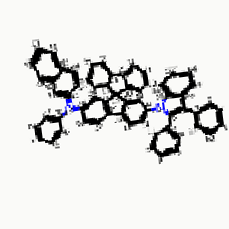 c1ccc(-c2c(-c3ccccc3)n(-c3ccc4c(c3)C3(c5ccccc5-c5ccccc53)c3cc(N(c5ccccc5)c5ccc6ccccc6c5)ccc3-4)c3ccccc23)cc1